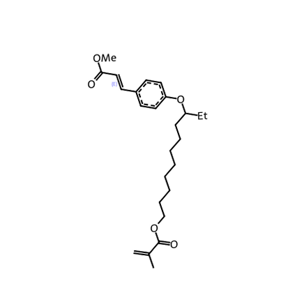 C=C(C)C(=O)OCCCCCCCCC(CC)Oc1ccc(/C=C/C(=O)OC)cc1